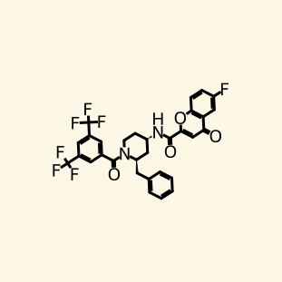 O=C(N[C@H]1CCN(C(=O)c2cc(C(F)(F)F)cc(C(F)(F)F)c2)[C@H](Cc2ccccc2)C1)c1cc(=O)c2cc(F)ccc2o1